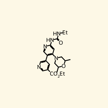 CCNC(=O)Nc1cc(N2CC(C)OC(C)C2)c(-c2cncc(C(=O)OCC)c2)cn1